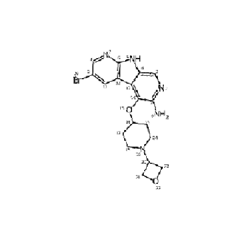 Nc1ncc2[nH]c3ncc(Br)cc3c2c1OC1CCN(C2COC2)CC1